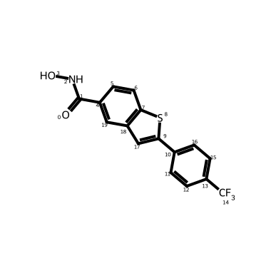 O=C(NO)c1ccc2sc(-c3ccc(C(F)(F)F)cc3)cc2c1